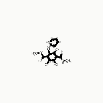 COC(=O)c1c(Cl)c(Cl)c(C(=O)OC)c(Cl)c1Cl.c1ccncc1